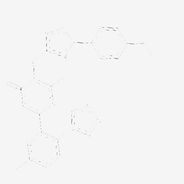 Cc1nc(-c2cc(Cl)ccc2-n2cnnn2)cc(=O)n1Cc1ncc(-c2ccc(NC(=O)O)cc2)[nH]1